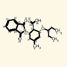 CCC(CC)O[C@@H]1C=C(C)C[C@H](N2C(=O)c3ccccc3C2=O)[C@H]1C(=O)O